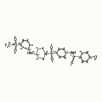 O=C(Nc1ccc(S(=O)(=O)N2CCC(Nc3cccc(S(=O)(=O)C(F)(F)F)c3)CC2)cc1)c1ccc(Cl)cc1